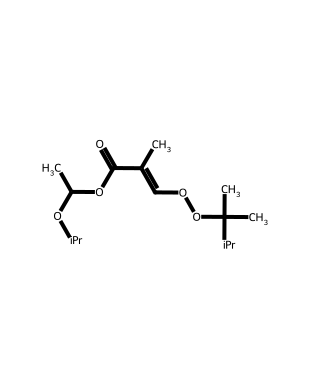 [C]C(C)OC(C)OC(=O)C(C)=COOC(C)(C)C(C)C